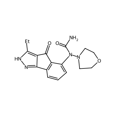 CCc1[nH]nc2c1C(=O)c1c-2cccc1N(C(N)=O)N1CCOCC1